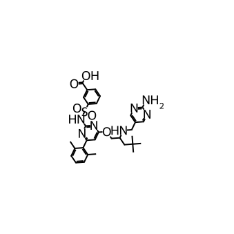 Cc1cccc(C)c1-c1cc(OCC(CC(C)(C)C)NCc2cnc(N)nc2)nc(NS(=O)(=O)c2cccc(C(=O)O)c2)n1